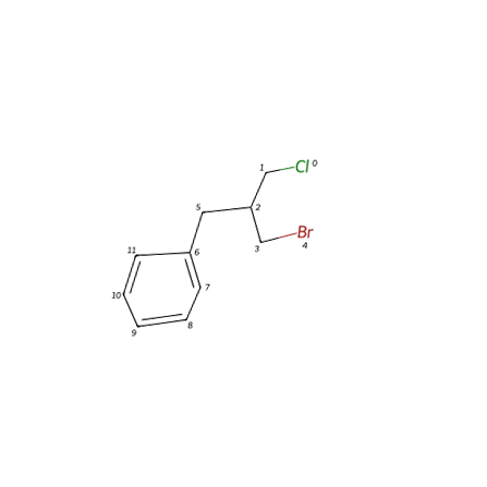 ClCC(CBr)Cc1ccccc1